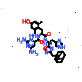 Cc1cc(O)cc(C)c1CC(NC(=O)C(CCN)NC(=N)N)C(=O)N[C@@H](Cc1c[nH]cn1)c1nc(CC23CC4CC(CC(C4)C2)C3)no1